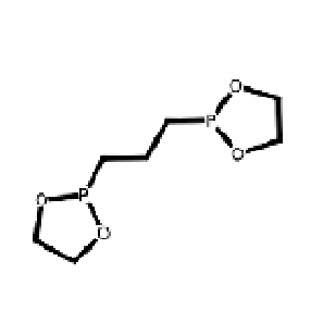 C(CP1OCCO1)CP1OCCO1